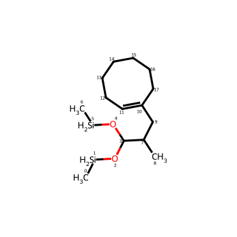 C[SiH2]OC(O[SiH2]C)C(C)CC1=CCCCCCC1